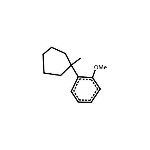 COc1ccccc1C1(C)CCCCC1